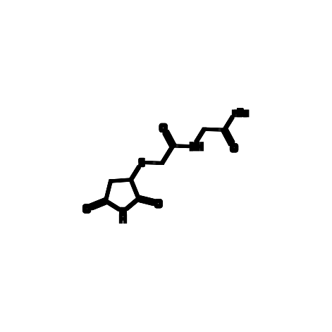 CCCCC(=O)CNC(=O)CSC1CC(=O)NC1=O